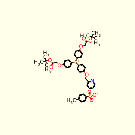 CC(C)(C)OC(=O)COc1ccc([S+](c2ccc(OCC(=O)OC(C)(C)C)cc2)c2ccc(OCc3ccccn3)cc2)cc1.Cc1ccc(S(=O)(=O)[O-])cc1